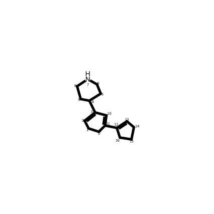 [CH]1CC=C(C2CCNCC2)C=C1C1=CCCC1